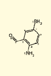 Bc1ccc(N)c(C=O)c1